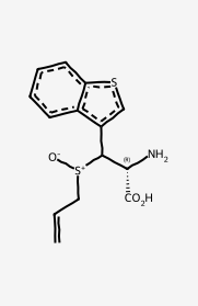 C=CC[S+]([O-])C(c1csc2ccccc12)[C@H](N)C(=O)O